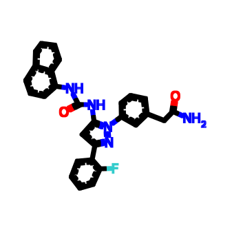 NC(=O)Cc1cccc(-n2nc(-c3ccccc3F)cc2NC(=O)Nc2cccc3ccccc23)c1